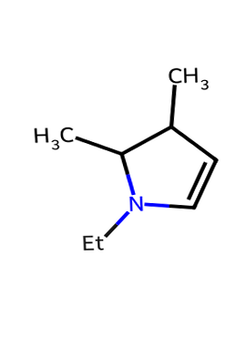 CCN1C=CC(C)C1C